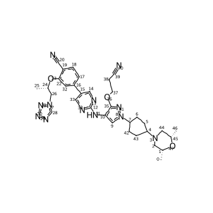 C[C@@H]1CN(C2CCC(n3cc(Nc4ncc(-c5ccc(C#N)c(O[C@@H](C)Cn6cnnn6)c5)cn4)c(OCCC#N)n3)CC2)C[C@H](C)O1